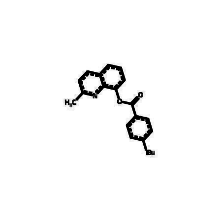 CCC(C)c1ccc(C(=O)Oc2cccc3ccc(C)nc23)cc1